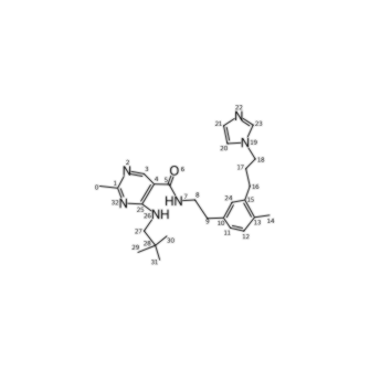 Cc1ncc(C(=O)NCCc2ccc(C)c(CCCn3ccnc3)c2)c(NCC(C)(C)C)n1